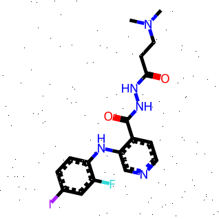 CN(C)CCC(=O)NNC(=O)c1ccncc1Nc1ccc(I)cc1F